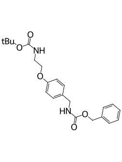 CC(C)(C)OC(=O)NCCOc1ccc(CNC(=O)OCc2ccccc2)cc1